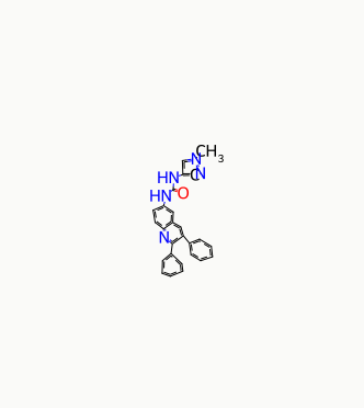 Cn1cc(NC(=O)Nc2ccc3nc(-c4ccccc4)c(-c4ccccc4)cc3c2)cn1